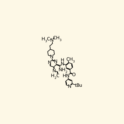 C=C/N=C1/C=NC(N2CCC(CCN(C)C)CC2)=N/C1=C(/N)Nc1cc(C(=O)Nc2ccnc(C(C)(C)C)c2)ccc1C